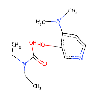 CCN(CC)C(=O)O.CN(C)c1ccncc1O